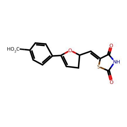 O=C1NC(=O)/C(=C/C2CC=C(c3ccc(C(=O)O)cc3)O2)S1